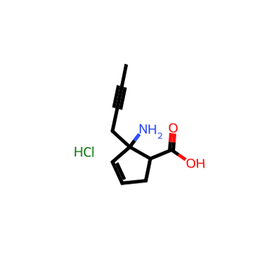 CC#CCC1(N)C=CCC1C(=O)O.Cl